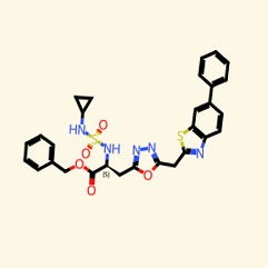 O=C(OCc1ccccc1)[C@H](Cc1nnc(Cc2nc3ccc(-c4ccccc4)cc3s2)o1)NS(=O)(=O)NC1CC1